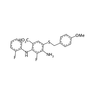 COc1ccc(CSc2cc(C(=O)O)c(Nc3ccccc3F)c(F)c2N)cc1